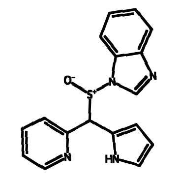 [O-][S+](C(c1ccccn1)c1ccc[nH]1)n1cnc2ccccc21